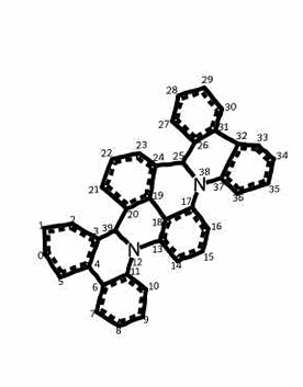 c1ccc2c(c1)-c1ccccc1N1c3cccc4c3-c3c(cccc3C3c5ccccc5-c5ccccc5N43)C21